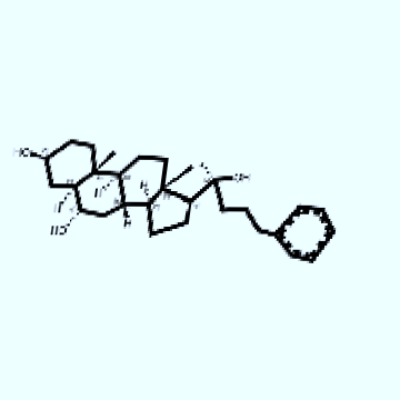 C[C@]12CC[C@H](O)C[C@@H]1[C@@H](O)C[C@@H]1[C@@H]2CC[C@@]2(C)[C@H]1CC[C@@H]2[C@@](C)(O)CCCc1ccccc1